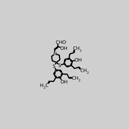 C=CCc1cc(SC2(Sc3cc(CC=C)c(O)c(CC=C)c3)CCN(C=C(O)[C]=O)CC2)cc(CC=C)c1O